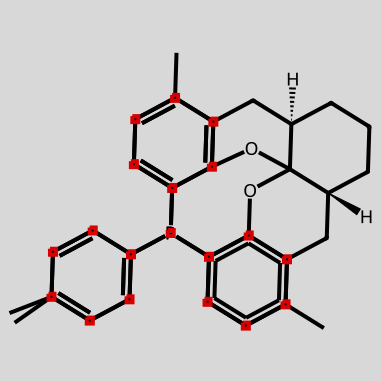 Cc1ccc(P(c2ccc(C)cc2)c2cccc3c2OC24Oc5c(cccc5P(c5ccc(C)cc5)c5ccc(C)cc5)C[C@H]2CCC[C@@H]4C3)cc1